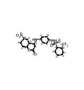 O=c1cc(Nc2ccc(NS(=O)(=O)c3ccccc3C(F)(F)F)cc2)c2cc([N+](=O)[O-])ccc2o1